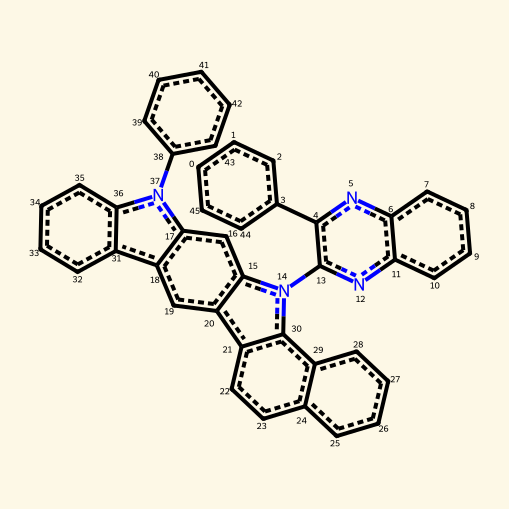 c1ccc(-c2nc3ccccc3nc2-n2c3cc4c(cc3c3ccc5ccccc5c32)c2ccccc2n4-c2ccccc2)cc1